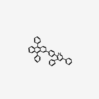 c1ccc(-c2cnc(-c3ccc(-c4ccc5c(-c6ccccc6)c6ccccc6c(-c6ccccc6)c5c4)cc3)c(-c3ccccc3)c2)cc1